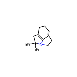 CCCC1(C(C)C)CC2=C3C(=CCC2)CCN31